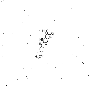 COC1CCC(NC(=O)Nc2ccc(Cl)c(C)c2)CC1